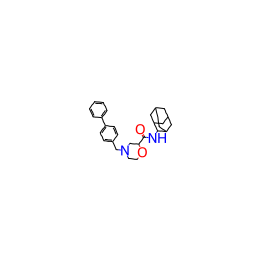 O=C(NC1C2CC3CC(C2)CC1C3)C1CN(Cc2ccc(-c3ccccc3)cc2)CCO1